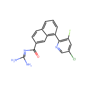 NC(N)=NC(=O)c1ccc2cccc(-c3ncc(Cl)cc3F)c2c1